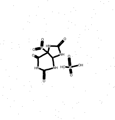 O=C1NC(=O)C2(P(=O)=O)NC(=O)NC2N1.O=S(=O)(O)O